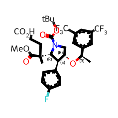 COC(=O)C(C)(CCC(=O)O)[C@H]1[C@H](c2ccc(F)cc2)[C@@H](O[C@H](C)c2cc(C(F)(F)F)cc(C(F)(F)F)c2)CN1C(=O)OC(C)(C)C